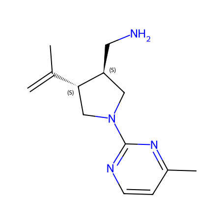 C=C(C)[C@H]1CN(c2nccc(C)n2)C[C@@H]1CN